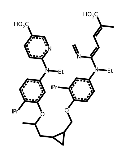 C=N/C(=C\C=C(/C)C(=O)O)N(CC)c1ccc(OCC2CC2CC(C)Oc2cc(N(CC)c3ccc(C(=O)O)cn3)ccc2C(C)C)c(C(C)C)c1